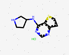 Cl.c1nc(NC2CCNC2)c2sccc2n1